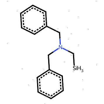 [SiH3]CN(Cc1ccccc1)Cc1ccccc1